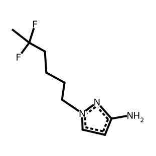 CC(F)(F)CCCCn1ccc(N)n1